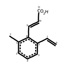 C=Cc1cccc(C)c1C=CC(=O)O